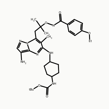 CCOc1ccc(C(=O)[N]OC(C)(C)Cc2c(C)c(NC3CCC(NC(=O)OC(C)(C)C)CC3)nc3c(N)cnn23)cc1